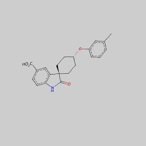 Cc1cccc(O[C@H]2CC[C@@]3(CC2)C(=O)Nc2ccc(C(=O)O)cc23)c1